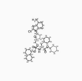 Nc1ncnc2c1nc(Cl)n2[C@H]1CC[C@@H](COP(=O)(N[C@@H](Cc2ccccc2)C(=O)OC2CCCCC2)Oc2cccc3ccccc23)O1